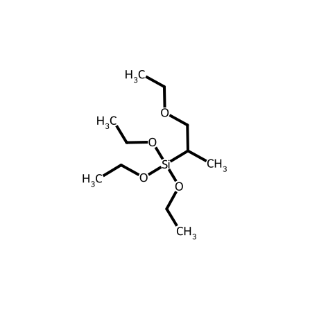 CCOCC(C)[Si](OCC)(OCC)OCC